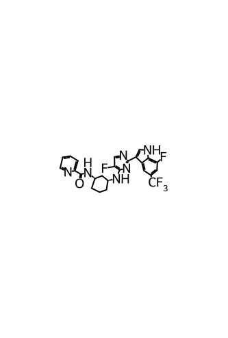 O=C(N[C@@H]1CCC[C@H](Nc2nc(-c3c[nH]c4c(F)cc(C(F)(F)F)cc34)ncc2F)C1)c1ccccn1